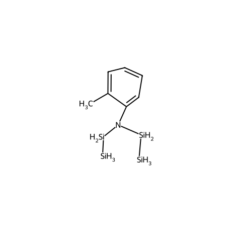 Cc1ccccc1N([SiH2][SiH3])[SiH2][SiH3]